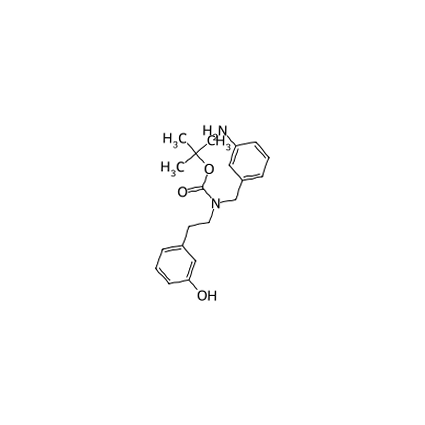 CC(C)(C)OC(=O)N(CCc1cccc(O)c1)Cc1cccc(N)c1